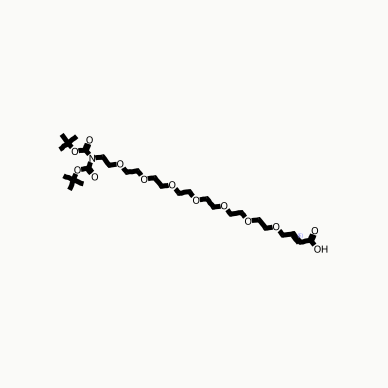 CC(C)(C)OC(=O)N(CCOCCOCCOCCOCCOCCOCCOC/C=C/C(=O)O)C(=O)OC(C)(C)C